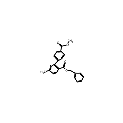 COC(=O)c1ccc(-c2nc(C)ccc2C(=O)OCc2ccccc2)cc1